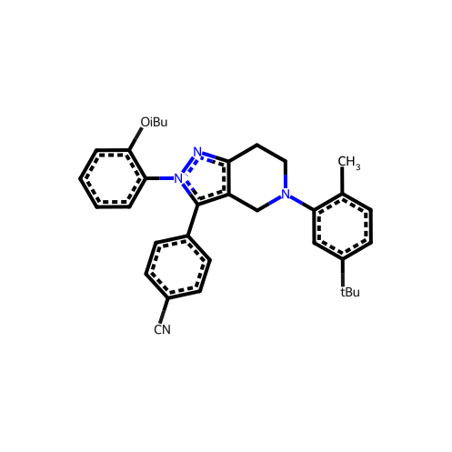 Cc1ccc(C(C)(C)C)cc1N1CCc2nn(-c3ccccc3OCC(C)C)c(-c3ccc(C#N)cc3)c2C1